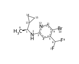 C[C@H](Nc1cc(C(F)F)c(Br)cn1)C1CC1